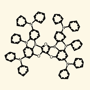 c1ccc(N(c2ccccc2)c2ccc3c(c2)N(c2ccccc2)c2cc(N(c4ccccc4)c4ccccc4)cc4c2B3c2oc3c(c2O4)Oc2cc(N(c4ccccc4)c4ccccc4)cc4c2B3c2ccc(N(c3ccccc3)c3ccccc3)cc2N4c2ccccc2)cc1